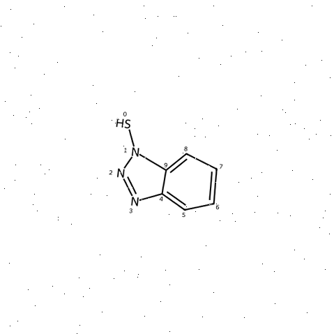 Sn1nnc2ccccc21